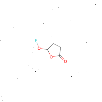 O=C1CCC(OF)O1